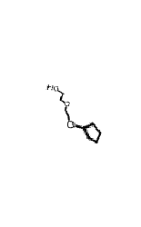 OCCOCCOC1CCCC1